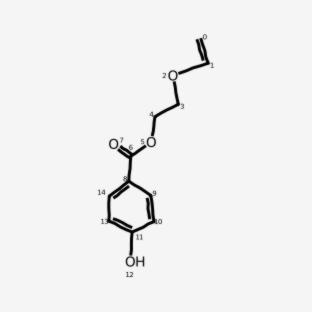 C=COCCOC(=O)c1ccc(O)cc1